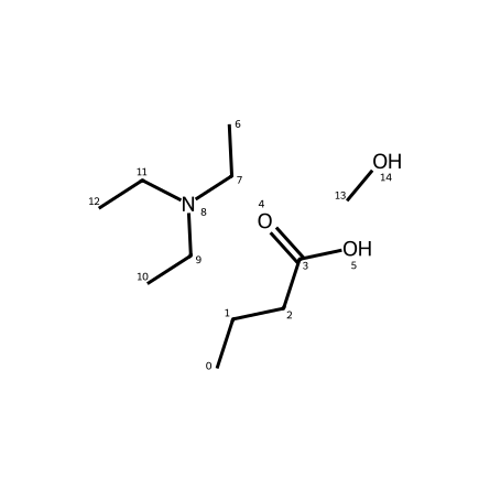 CCCC(=O)O.CCN(CC)CC.CO